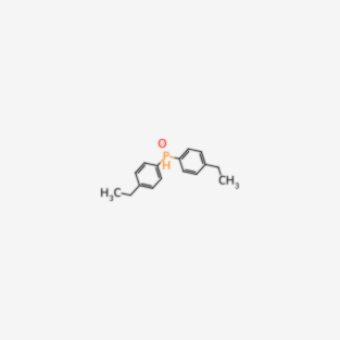 CCc1ccc([PH](=O)c2ccc(CC)cc2)cc1